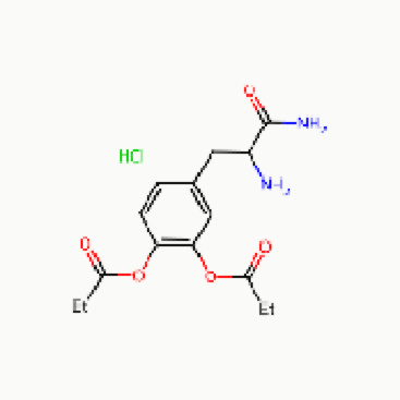 CCC(=O)Oc1ccc(CC(N)C(N)=O)cc1OC(=O)CC.Cl